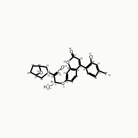 C[C@@H](Oc1ccc2c(-c3ccc(F)cc3Cl)cc(=O)oc2c1)C(=C=O)N1CC2CCC(C1)O2